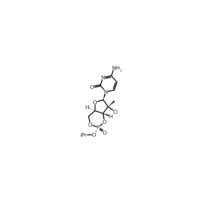 CC(C)O[P@]1(=O)OC[C@H]2O[C@@H](n3ccc(N)nc3=O)[C@](C)(Cl)[C@@H]2O1